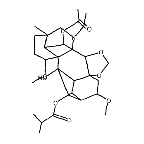 CCN1CC2(C)CCC(OC)C34C2C(OC(C)=O)C2(OCOC25CC(OC)C2CC3(O)C5C2OC(=O)C(C)C)C14